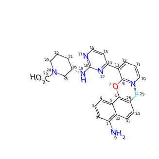 Nc1cccc2c(Oc3ncccc3-c3ccnc(N[C@H]4CCCN(C(=O)O)C4)n3)c(F)ccc12